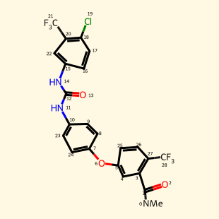 CNC(=O)c1cc(Oc2ccc(NC(=O)Nc3ccc(Cl)c(C(F)(F)F)c3)cc2)ccc1C(F)(F)F